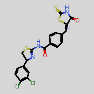 O=C1NC(=S)S/C1=C\c1ccc(C(=O)NC2=NC(c3ccc(Cl)c(Cl)c3)CS2)cc1